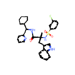 CC(Cc1c[nH]c2ccccc12)(NS(=O)(=O)c1cccc(F)c1)C(=O)NC(c1ccccn1)C1CCCCC1